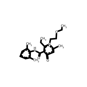 CCOCCn1c(C)cc(=O)c(C(=O)Nc2c(C)cccc2C)c1CC